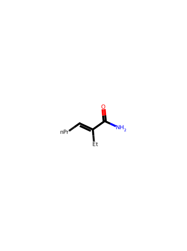 CCC/C=C(\CC)C(N)=O